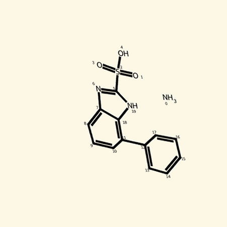 N.O=S(=O)(O)c1nc2cccc(-c3ccccc3)c2[nH]1